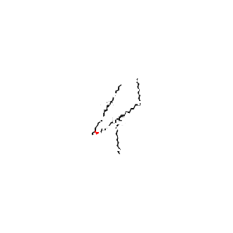 CCCCCCCC/C=C\CCCCCCCC(=O)OC(CCCCCCCC)CCCCCCCCCCC.CCCCCCCCCCCC(=O)OCCCCCCCC